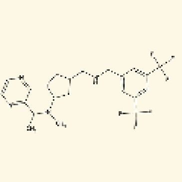 CC(c1cnccn1)N(C)C1CCC(CNCc2cc(C(F)(F)F)cc(C(F)(F)F)c2)C1